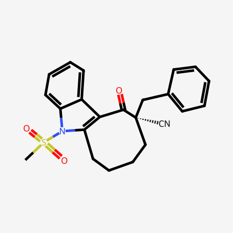 CS(=O)(=O)n1c2c(c3ccccc31)C(=O)[C@@](C#N)(Cc1ccccc1)CCCC2